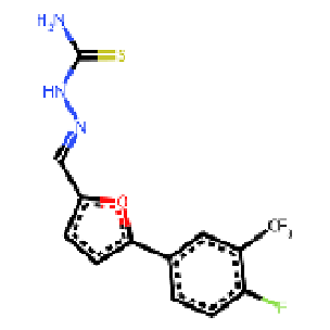 NC(=S)NN=Cc1ccc(-c2ccc(F)c(C(F)(F)F)c2)o1